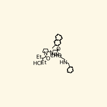 CCC(CC)C(=O)N1CCCC1N(C=O)[C@H](Cc1ccc2ccccc2c1)C(=O)NCCCNCc1ccccc1.Cl